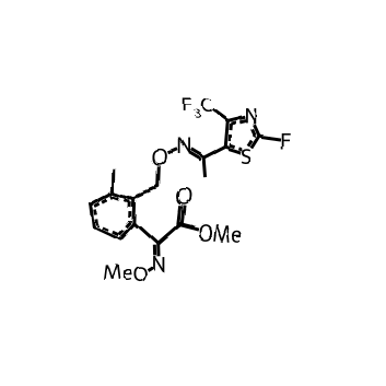 CO/N=C(/C(=O)OC)c1cccc(C)c1CO/N=C(\C)c1sc(F)nc1C(F)(F)F